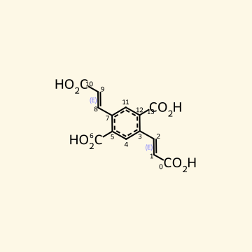 O=C(O)/C=C/c1cc(C(=O)O)c(/C=C/C(=O)O)cc1C(=O)O